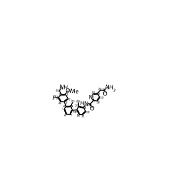 COc1cc(-c2cccc(-c3cccc(NC(=O)c4ccc(CC(N)=O)cn4)c3C)c2C)cc(F)c1CN